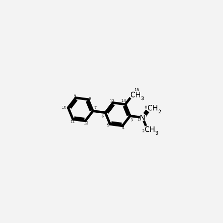 C=[N+](C)c1ccc(-c2ccccc2)cc1C